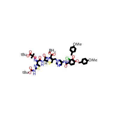 BOC(=O)C1=C(C[n+]2cncc(NC(=O)c3ccc(OCc4ccc(OC)cc4)c(OCc4ccc(OC)cc4)c3Cl)c2)CS[C@@H]2[C@H](NC(=O)/C(=N\OC(C)(C)C(=O)OC(C)(C)C)c3csc(NC(=O)OC(C)(C)C)n3)C(=O)N12